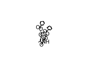 Cc1cn([C@@H]2O[C@@H](COC(=O)c3ccccc3)C(OC(=O)c3ccccc3)C2F)c(=O)[nH]c1=O